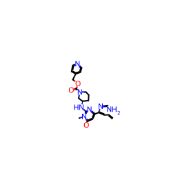 C=C/C=C(\N=C/N)c1cc(=O)n(C)c(N[C@@H]2CCCN(C(=O)OCc3ccncc3)C2)n1